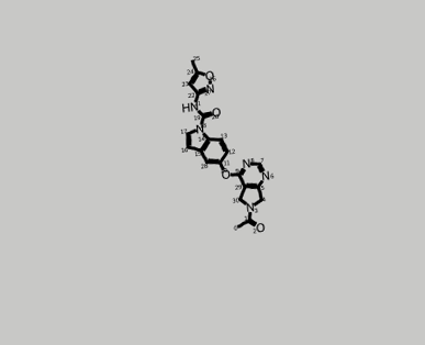 CC(=O)N1Cc2ncnc(Oc3ccc4c(ccn4C(=O)Nc4cc(C)on4)c3)c2C1